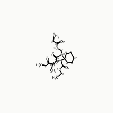 C=CC(=O)OCN(C(=O)OCC)C1(N(COC(=O)C=C)C(=O)OCC)CCCCC1